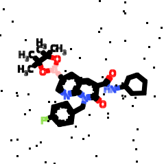 CC1(C)OB(c2cnc3c(c2)cc(C(=O)NC2CCCCC2)c(=O)n3Cc2ccc(F)cc2)OC1(C)C